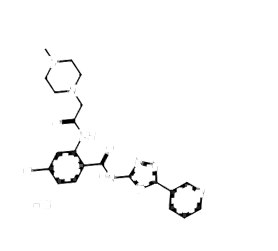 CN1CCN(CC(=O)Nc2cc(Cl)ccc2C(=O)Nc2nnc(-c3cccnc3)s2)CC1.Cl